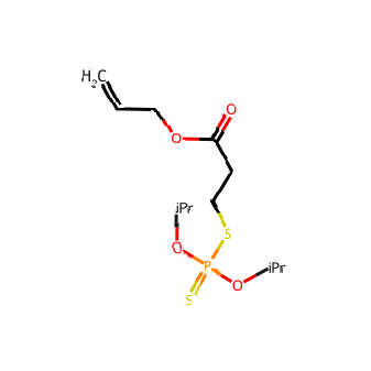 C=CCOC(=O)CCSP(=S)(OC(C)C)OC(C)C